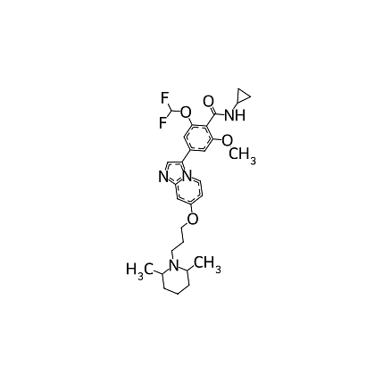 COc1cc(-c2cnc3cc(OCCCN4C(C)CCCC4C)ccn23)cc(OC(F)F)c1C(=O)NC1CC1